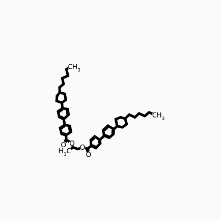 CCCCCCC1CCC(c2ccc(-c3ccc(C(=O)OCC(C)OC(=O)c4ccc(-c5ccc(C6CCC(CCCCCC)CC6)cc5)cc4)cc3)cc2)CC1